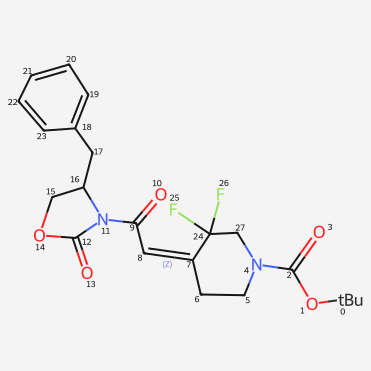 CC(C)(C)OC(=O)N1CC/C(=C/C(=O)N2C(=O)OCC2Cc2ccccc2)C(F)(F)C1